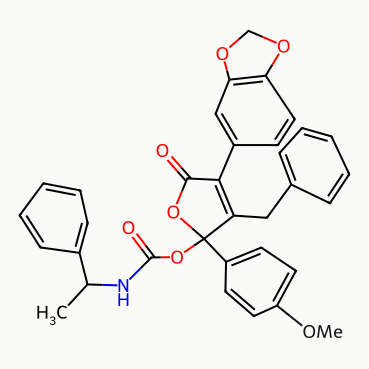 COc1ccc(C2(OC(=O)NC(C)c3ccccc3)OC(=O)C(c3ccc4c(c3)OCO4)=C2Cc2ccccc2)cc1